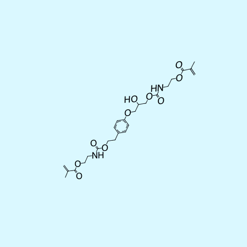 C=C(C)C(=O)OCCNC(=O)OCCc1ccc(OCC(O)COC(=O)NCCOC(=O)C(=C)C)cc1